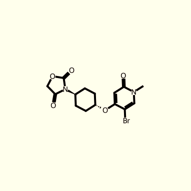 Cn1cc(Br)c(O[C@H]2CC[C@H](N3C(=O)COC3=O)CC2)cc1=O